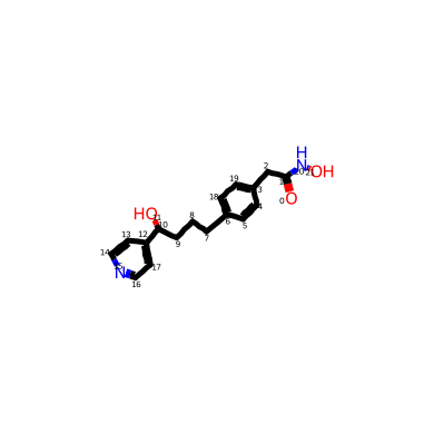 O=C(Cc1ccc(CCCC(O)c2ccncc2)cc1)NO